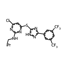 CC(C)CNc1nc(Cl)cc(Sc2nc(-c3cc(C(F)(F)F)cc(C(F)(F)F)c3)n[nH]2)n1